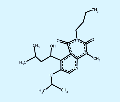 CCCCn1c(=O)c2c(C(O)CC(C)C)c(OC(C)C)cnc2n(C)c1=O